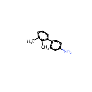 Cc1cccc(-c2ccc(N)cc2)c1C